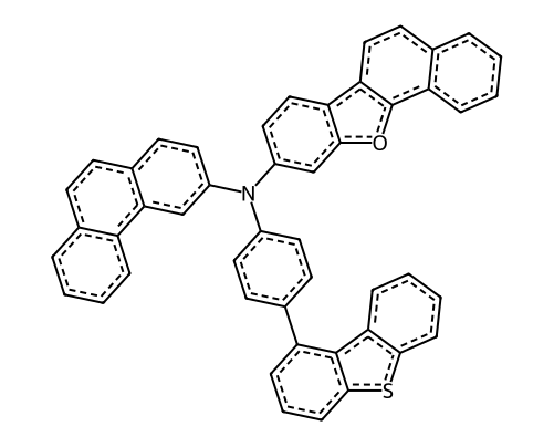 c1ccc2c(c1)ccc1ccc(N(c3ccc(-c4cccc5sc6ccccc6c45)cc3)c3ccc4c(c3)oc3c5ccccc5ccc43)cc12